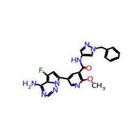 COc1ncc(-c2cc(F)c3c(N)ncnn23)cc1C(=O)Nc1cnn(Cc2ccccc2)c1